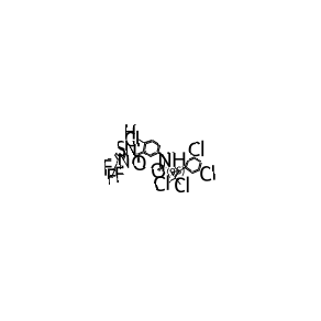 O=C(Nc1nc(C(F)(F)F)cs1)c1cc(NC(=O)[C@@H]2[C@@H](c3cc(Cl)cc(Cl)c3)C2(Cl)Cl)ccc1Cl